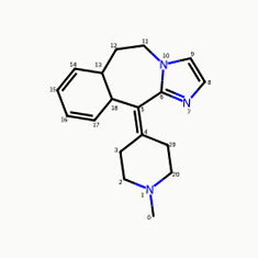 CN1CCC(=C2c3nccn3CCC3C=CC=CC23)CC1